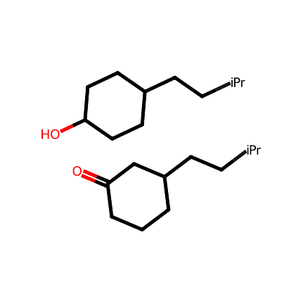 CC(C)CCC1CCC(O)CC1.CC(C)CCC1CCCC(=O)C1